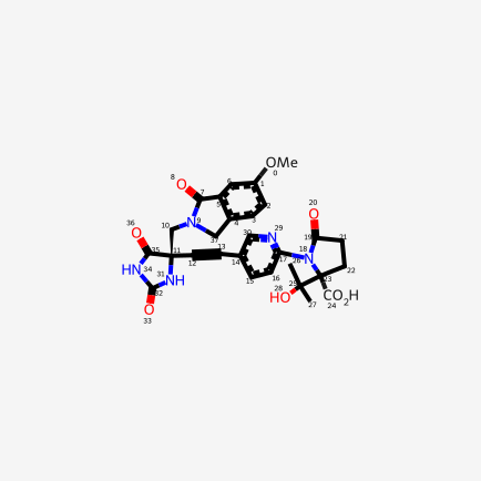 COc1ccc2c(c1)C(=O)N(C[C@@]1(C#Cc3ccc(N4C(=O)CCC4(C(=O)O)C(C)(C)O)nc3)NC(=O)NC1=O)C2